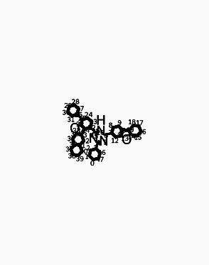 c1ccc(C2=NC(c3ccc4c(c3)oc3ccccc34)NC(c3ccc(-c4ccccc4)c4oc5cc6ccccc6cc5c34)=N2)cc1